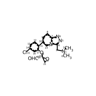 CN(C)Cc1nnc2ccc(-c3ccc(Cl)cc3O[C@]3(C=O)CO3)cn12